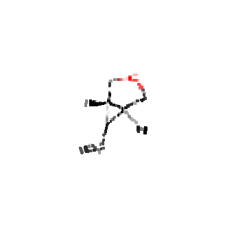 O=C(O)C1[C@@H]2COC[C@@H]12